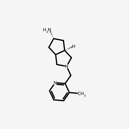 Cc1cccnc1CN1CC2C[C@H](N)C[C@H]2C1